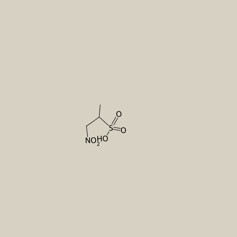 CC(C[N+](=O)[O-])S(=O)(=O)O